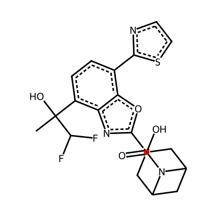 CC(O)(c1ccc(-c2nccs2)c2oc(N3CC4CC(C3)N4C(=O)O)nc12)C(F)F